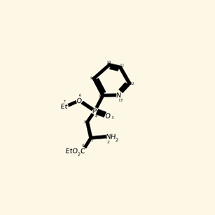 CCOC(=O)C(N)CP(=O)(OCC)c1ccccn1